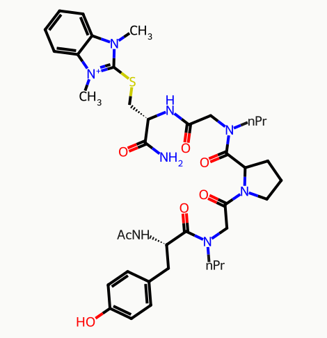 CCCN(CC(=O)N[C@@H](CSc1n(C)c2ccccc2[n+]1C)C(N)=O)C(=O)C1CCCN1C(=O)CN(CCC)C(=O)[C@H](Cc1ccc(O)cc1)NC(C)=O